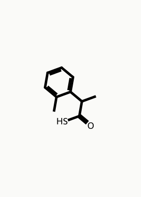 Cc1ccccc1C(C)C(=O)S